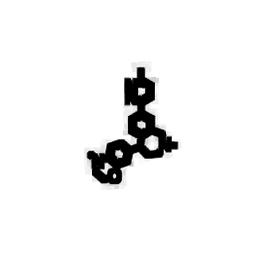 Cc1ccc(-c2ccc3c(c2)CN(C)CCC3c2ccc3c(c2)OCCN3C)nn1